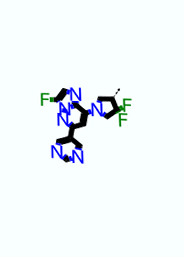 C[C@H]1CN(c2cc(-c3cncnc3)nn3c(F)cnc23)CC1(F)F